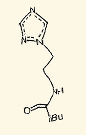 CCC(C)C(=O)NCCn1cncn1